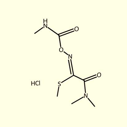 CNC(=O)ON=C(SC)C(=O)N(C)C.Cl